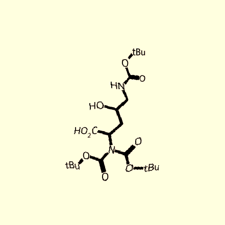 CC(C)(C)OC(=O)NCC(O)CC(C(=O)O)N(C(=O)OC(C)(C)C)C(=O)OC(C)(C)C